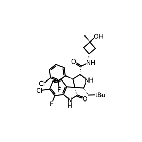 CC(C)(C)C[C@H]1N[C@@H](C(=O)N[C@H]2C[C@@](C)(O)C2)[C@H](c2cccc(Cl)c2F)[C@@]12C(=O)Nc1c2ccc(Cl)c1F